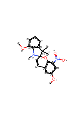 COc1cc2c(c([N+](=O)[O-])c1)OC1(C=C2)N(C)c2c(OC)cccc2C1(C)C